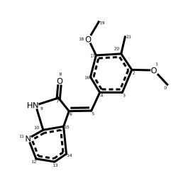 COc1cc(C=C2C(=O)Nc3ncccc32)cc(OC)c1C